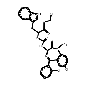 CCOC(=O)C(Cc1c[nH]c2ccccc12)NC(=S)NC1N=C(c2ccccc2Cl)c2cc(Cl)ccc2N(C)C1=O